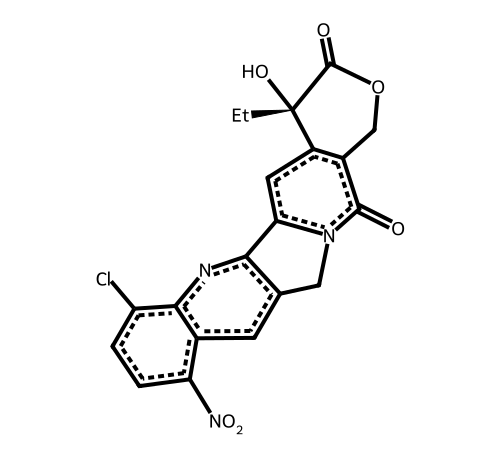 CC[C@@]1(O)C(=O)OCc2c1cc1n(c2=O)Cc2cc3c([N+](=O)[O-])ccc(Cl)c3nc2-1